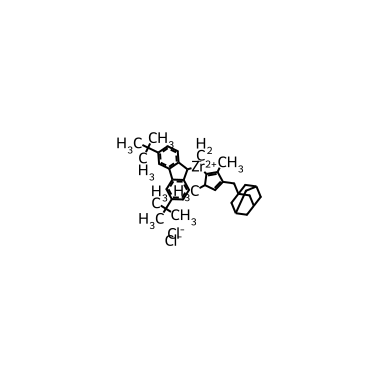 [CH2]=[Zr+2]([C]1=C(C)C(CC23CC4CC(CC(C4)C2)C3)=CC1C)[CH]1c2ccc(C(C)(C)C)cc2-c2cc(C(C)(C)C)ccc21.[Cl-].[Cl-]